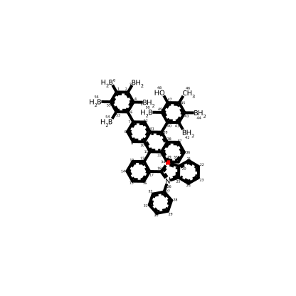 Bc1c(B)c(B)c(-c2ccc3c(-c4ccccc4-c4nc5ccccc5n4-c4ccccc4)c4ccccc4c(-c4c(B)c(B)c(C)c(O)c4B)c3c2)c(B)c1B